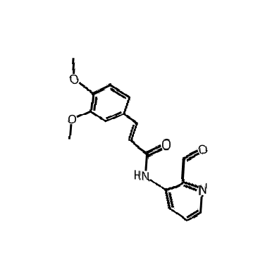 COc1ccc(/C=C/C(=O)Nc2cccnc2C=O)cc1OC